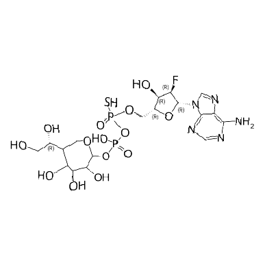 Nc1ncnc2c1ncn2[C@@H]1O[C@H](COP(=O)(S)OP(=O)(O)OC2OCC([C@@H](O)CO)C(O)C(O)C2O)[C@@H](O)[C@H]1F